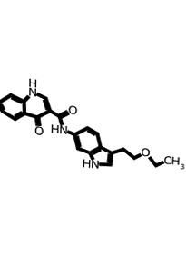 CCOCCc1c[nH]c2cc(NC(=O)c3c[nH]c4ccccc4c3=O)ccc12